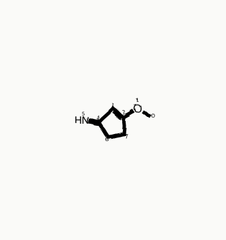 COC1=CC(=N)CC1